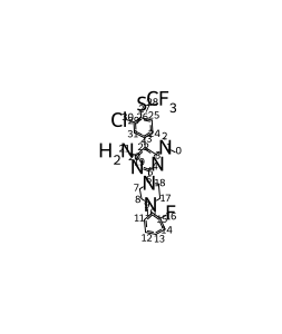 CN(C)c1nc(N2CCN(c3ccccc3F)CC2)nc(N)c1-c1ccc(SC(F)(F)F)c(Cl)c1